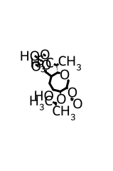 CC(C)O[C@H]1C(O)CC(COS(=O)(=O)O)[C@H](C(C)C)OCC1OC=O